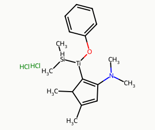 CC1=CC(N(C)C)=[C]([Ti]([O]c2ccccc2)[SiH](C)C)C1C.Cl.Cl